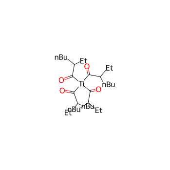 CCCCC(CC)[C](=O)[Ti]([C](=O)C(CC)CCCC)([C](=O)C(CC)CCCC)[C](=O)C(CC)CCCC